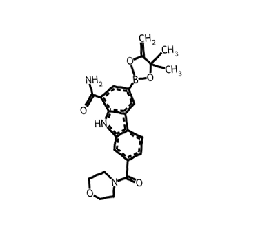 C=C1OB(c2cc(C(N)=O)c3[nH]c4cc(C(=O)N5CCOCC5)ccc4c3c2)OC1(C)C